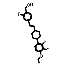 CCOc1ccc(C2CCC(/C=C/c3ccc(CO)c(F)c3)CC2)c(F)c1F